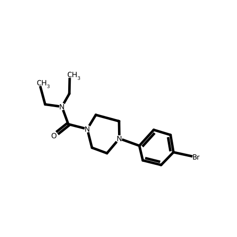 CCN(CC)C(=O)N1CCN(c2ccc(Br)cc2)CC1